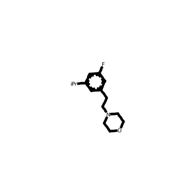 CC(C)c1cc(F)cc(CCN2CCOCC2)c1